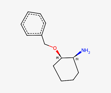 N[C@H]1CCCC[C@H]1OCc1ccccc1